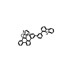 c1cc(-c2cccc(-c3cccc4c5ccccc5c5oc6nccnc6c5c34)c2)cc(-c2cccc3c2sc2ccccc23)c1